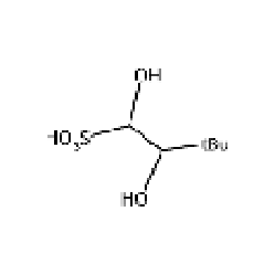 CC(C)(C)C(O)C(O)S(=O)(=O)O